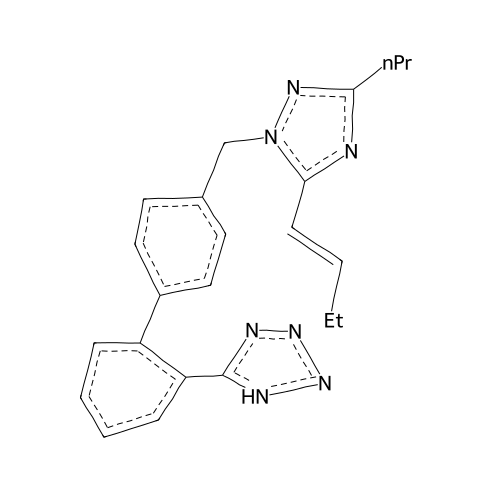 CC/C=C/c1nc(CCC)nn1Cc1ccc(-c2ccccc2-c2nnn[nH]2)cc1